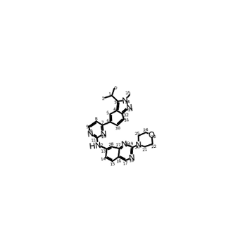 CC(C)c1c2cc(-c3ccnc(Nc4ccc5cnc(N6CCOCC6)nc5c4)n3)ccc2nn1C